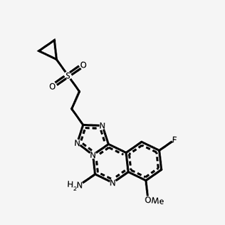 COc1cc(F)cc2c1nc(N)n1nc(CCS(=O)(=O)C3CC3)nc21